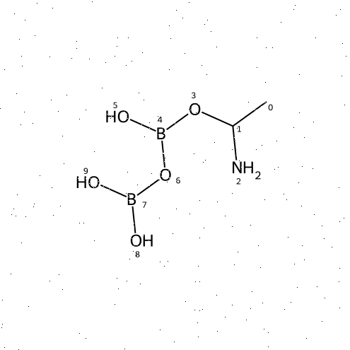 CC(N)OB(O)OB(O)O